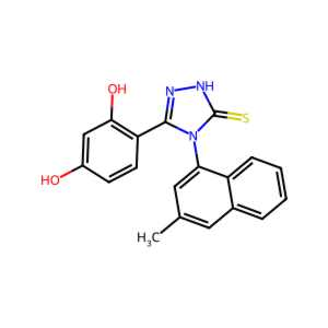 Cc1cc(-n2c(-c3ccc(O)cc3O)n[nH]c2=S)c2ccccc2c1